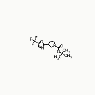 CC(C)(C)OC(=O)N1CCC(c2ncc(C(F)(F)F)o2)C1